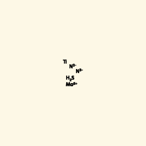 S.[Mo+6].[N-3].[N-3].[Ti]